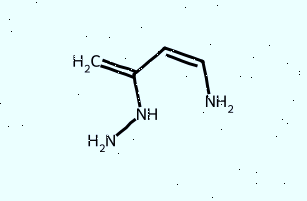 C=C(/C=C\N)NN